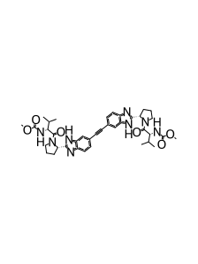 COC(=O)N[C@@H](C(=O)N1CCC[C@H]1c1nc2ccc(C#Cc3ccc4nc([C@@H]5CCCN5C(=O)[C@H](NC(=O)OC)C(C)C)[nH]c4c3)cc2[nH]1)C(C)C